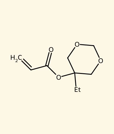 C=CC(=O)OC1(CC)COCOC1